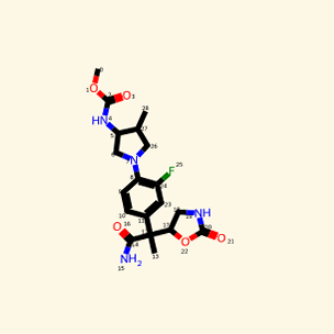 COC(=O)NC1CN(c2ccc(C(C)(C(N)=O)C3CNC(=O)O3)cc2F)CC1C